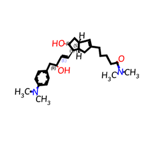 CN(C)C(=O)CCCCC1=C[C@H]2C[C@@H](O)[C@H](/C=C/[C@H](O)Cc3ccc(N(C)C)cc3)[C@H]2C1